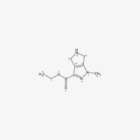 CCOC(=O)c1nn(C)c2c1CNC2